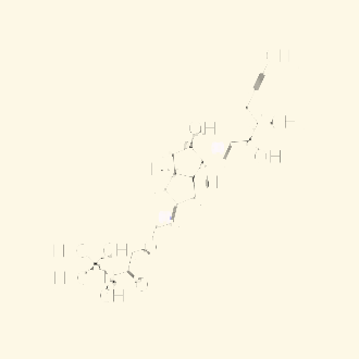 CC#CC[C@H](C)[C@H](O)/C=C/[C@@H]1[C@H]2C/C(=C/COCC(=O)N(C)C(C)(C)C)C[C@H]2C[C@H]1O